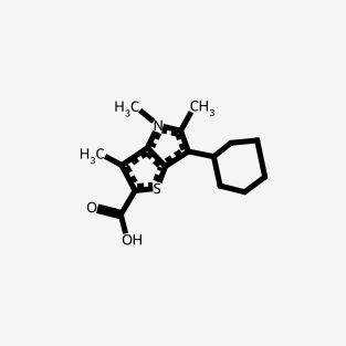 Cc1c(C(=O)O)sc2c(C3CCCCC3)c(C)n(C)c12